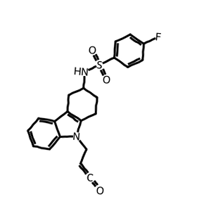 O=C=CCn1c2c(c3ccccc31)CC(NS(=O)(=O)c1ccc(F)cc1)CC2